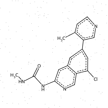 CNC(=O)Nc1cc2cc(-c3cnccc3C)cc(Cl)c2cn1